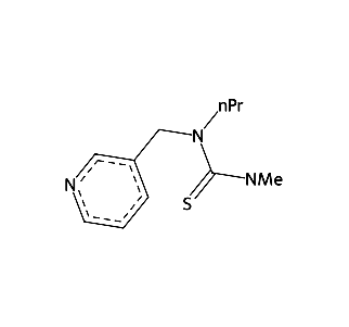 CCCN(Cc1cccnc1)C(=S)NC